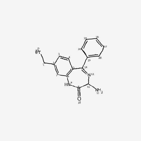 CC(C)Cc1ccc2c(c1)NC(=O)C(N)N=C2c1ccccc1